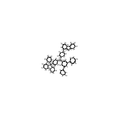 c1ccc(-c2cc(-c3ccccc3)cc(N(c3ccc(-c4cccc5c4sc4ccccc45)cc3)c3ccc(C4(c5ccccc5)c5ccccc5-c5ccccc54)cc3)c2)cc1